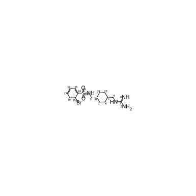 N=C(N)NC[C@H]1CC[C@H](CNS(=O)(=O)c2ccccc2Br)CC1